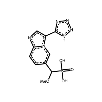 COC(c1ccc2ncc(-c3nnn[nH]3)n2c1)P(=O)(O)O